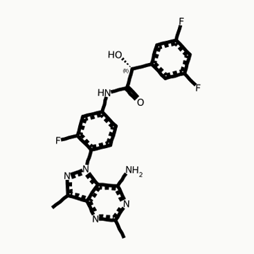 Cc1nc(N)c2c(n1)c(C)nn2-c1ccc(NC(=O)[C@H](O)c2cc(F)cc(F)c2)cc1F